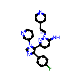 N=c1ccc(-c2c(-c3ccc(F)cc3)ncn2-c2cccnc2)nn1/C=C/c1ccncc1